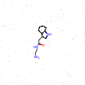 NCCNC(=O)Cc1c[nH]c2ccccc12